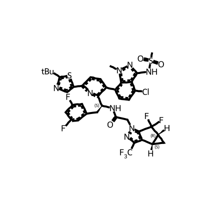 Cn1nc(NS(C)(=O)=O)c2c(Cl)ccc(-c3ccc(-c4cnc(C(C)(C)C)s4)nc3[C@H](Cc3cc(F)cc(F)c3)NC(=O)Cn3nc(C(F)(F)F)c4c3C(F)(F)[C@@H]3C[C@H]43)c21